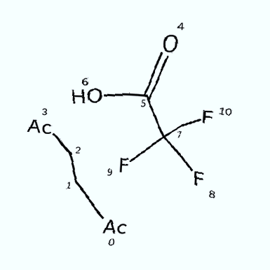 CC(=O)CCC(C)=O.O=C(O)C(F)(F)F